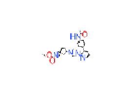 CCOC(=O)N1CC2(CCC(N3CCN(c4ncccc4-c4ccc(NC(C)=O)cc4)CC3)C2)C1